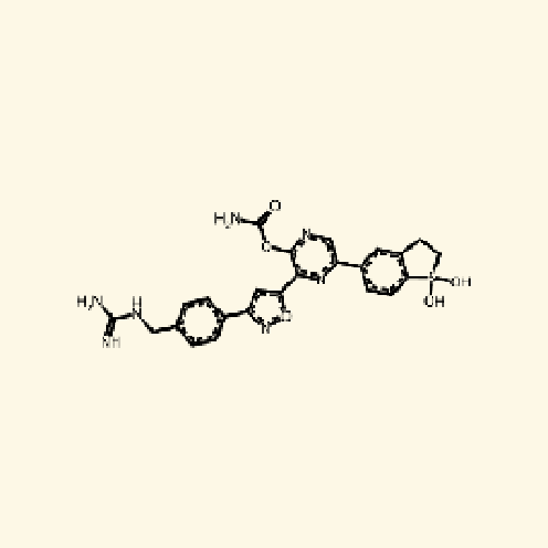 N=C(N)NCc1ccc(-c2cc(-c3nc(-c4ccc5c(c4)CCS5(O)O)cnc3OC(N)=O)on2)cc1